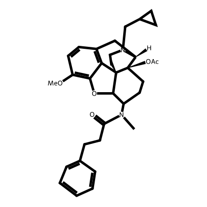 COc1ccc2c3c1OC1C(N(C)C(=O)CCc4ccccc4)CC[C@@]4(OC(C)=O)[C@@H](C2)N(CC2CC2)CC[C@]314